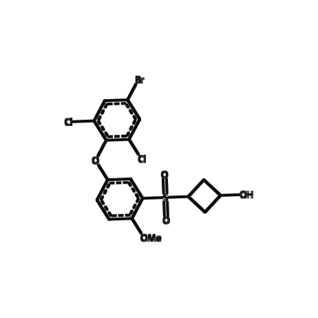 COc1ccc(Oc2c(Cl)cc(Br)cc2Cl)cc1S(=O)(=O)C1CC(O)C1